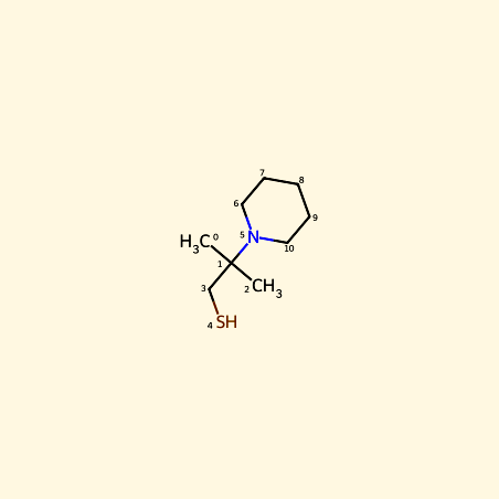 CC(C)(CS)N1CCCCC1